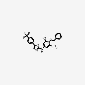 Cc1cc(Nc2ncc(-c3ccc(C(F)(F)F)cc3)o2)cc(=O)n1OCc1ccccc1